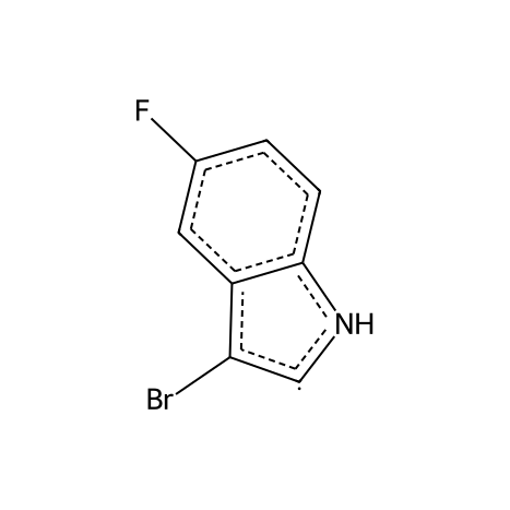 Fc1ccc2[nH][c]c(Br)c2c1